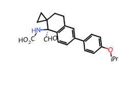 CC(C)Oc1ccc(-c2ccc3c(c2)CCC2(CC2)[C@]3(C=O)NC(=O)O)cc1